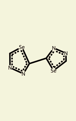 c1nnc(-c2nnc[se]2)[se]1